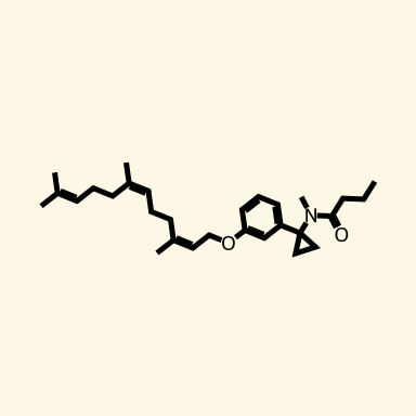 CCCC(=O)N(C)C1(c2cccc(OCC=C(C)CCC=C(C)CCC=C(C)C)c2)CC1